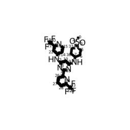 CS(=O)(=O)N1CCC(Nc2cc(Nc3ccnc(C(F)(F)F)c3)nc(-c3cccc(C(F)(F)F)n3)n2)CC1